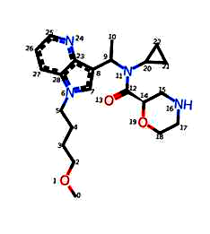 COCCCCn1cc(C(C)N(C(=O)[C@H]2CNCCO2)C2CC2)c2ncccc21